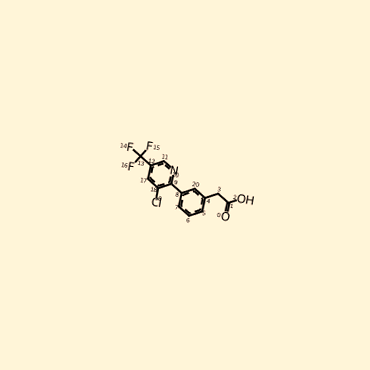 O=C(O)Cc1cccc(-c2ncc(C(F)(F)F)cc2Cl)c1